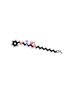 CCCCCCCCCCCCOCC(O)CNCCOCc1ccccc1